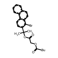 CCC(C)C(=O)OCC(=O)OC(C)(C)c1ccc2c(ccc3ccccc32)c1Br